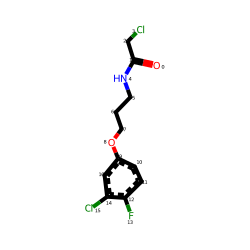 O=C(CCl)NCCCOc1ccc(F)c(Cl)c1